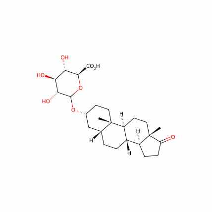 C[C@]12CC[C@@H](OC3O[C@H](C(=O)O)[C@@H](O)[C@H](O)[C@H]3O)C[C@H]1CC[C@@H]1[C@@H]2CC[C@]2(C)C(=O)CC[C@@H]12